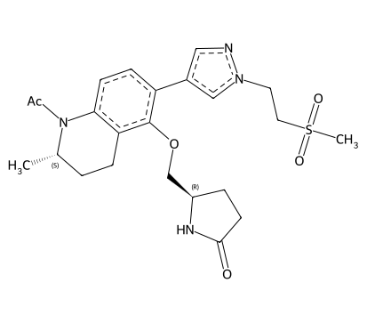 CC(=O)N1c2ccc(-c3cnn(CCS(C)(=O)=O)c3)c(OC[C@H]3CCC(=O)N3)c2CC[C@@H]1C